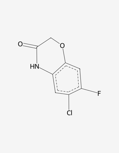 O=C1COc2cc(F)c(Cl)cc2N1